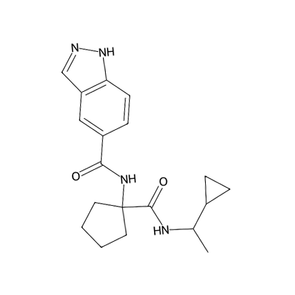 CC(NC(=O)C1(NC(=O)c2ccc3[nH]ncc3c2)CCCC1)C1CC1